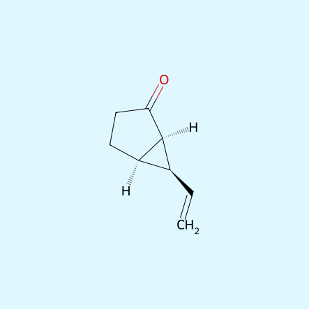 C=C[C@H]1[C@H]2CCC(=O)[C@@H]12